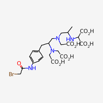 CC(CN(CC(=O)O)CC(Cc1ccc(NC(=O)CBr)cc1)N(CC(=O)O)CC(=O)O)NC(C(=O)O)C(=O)O